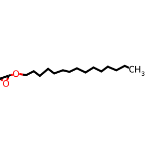 CCCCCCCCCCCCCCCOC1CO1